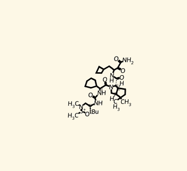 CN(C[C@@H](NC(=O)N[C@H](C(=O)N1C[C@H]2[C@H](CCC2(C)C)[C@H]1C(=O)NC(CC1CCC1)C(=O)C(N)=O)C1CCCCC1)C(C)(C)C)[S+](C)[O-]